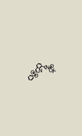 CC(C)(C)OC(=O)N1CC(c2cccc3cc(S(=O)(=O)c4ccccc4)cnc23)C1